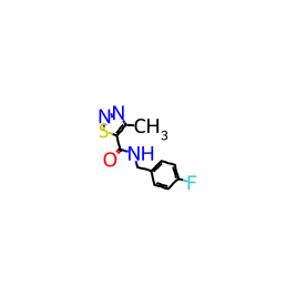 Cc1nnsc1C(=O)NCc1ccc(F)cc1